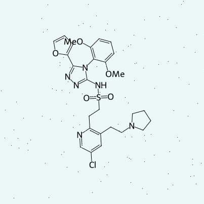 COc1cccc(OC)c1-n1c(NS(=O)(=O)CCc2ncc(Cl)cc2CCN2CCCC2)nnc1-c1ccco1